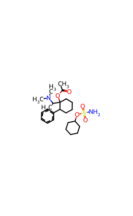 CC(=O)OC1(C(C)N(C)C)CCCCC1c1ccccc1.NS(=O)(=O)OC1CCCCC1